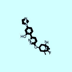 [2H][C@@]12C[C@H](Oc3ccc(-c4ccc(-n5ccnc5)cc4O)nn3)C[C@@](C)([C@H](F)C1)N2C